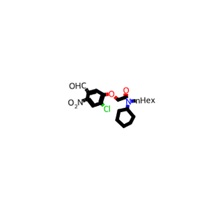 CCCCCCN(C(=O)COc1cc(C=O)c([N+](=O)[O-])cc1Cl)C1CCCCC1